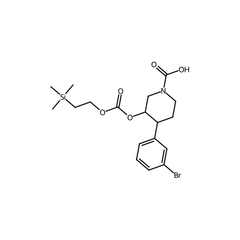 C[Si](C)(C)CCOC(=O)OC1CN(C(=O)O)CCC1c1cccc(Br)c1